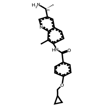 Cc1c(NC(=O)c2ccc(OCC3CC3)cc2)ccc2cc([C@@H](C)N)cnc12